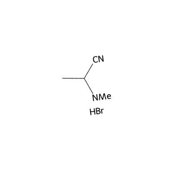 Br.CNC(C)C#N